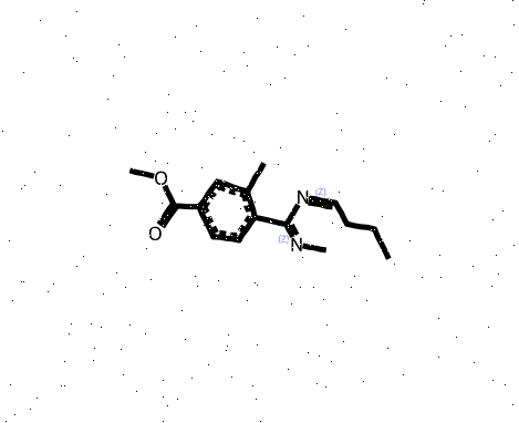 CCC/C=N\C(=N/C)c1ccc(C(=O)OC)cc1C